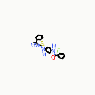 C[C@H](NC(=S)Nc1ccc(NC(=O)c2ccccc2F)cc1)c1ccccc1